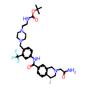 C[C@H]1CN(CC(N)=O)Cc2cc(C(=O)Nc3ccc(CN4CCN(CCNC(=O)OC(C)(C)C)CC4)c(C(F)(F)F)c3)ccc21